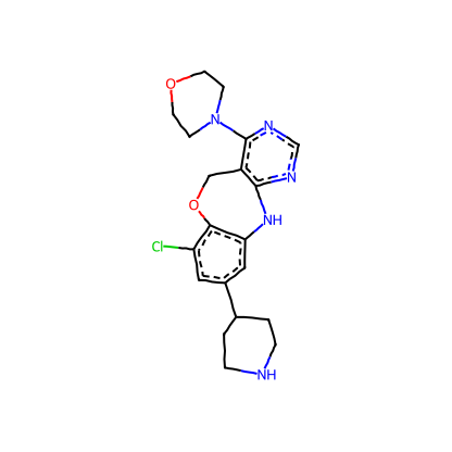 Clc1cc(C2CCNCC2)cc2c1OCc1c(ncnc1N1CCOCC1)N2